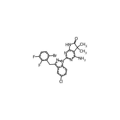 CC1(C)C(=O)Nc2nc(-n3nc(Cc4c(Br)ccc(F)c4F)c4cc(Cl)ccc43)nc(N)c21